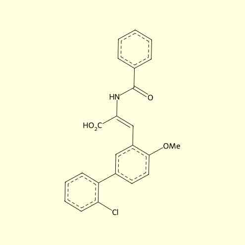 COc1ccc(-c2ccccc2Cl)cc1/C=C(/NC(=O)c1ccccc1)C(=O)O